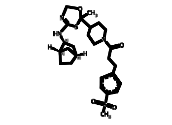 CC1(C2CCN(C(=O)CCc3ccc(S(C)(=O)=O)cc3)CC2)OCN=C(N[C@H]2C[C@@H]3CC[C@H]2C3)S1